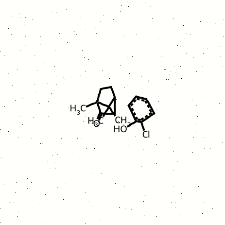 CC12CCC(CC1=O)C2(C)C.Oc1ccccc1Cl